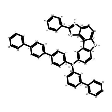 c1ccc(-c2ccc(-c3ccc(N(c4cccc(-c5ccccc5)c4)c4ccc5oc6ccc7nc(-c8ccccc8)sc7c6c5c4)cc3)cc2)cc1